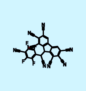 N#Cc1cc2c(c(C#N)c1C#N)C(C(C#N)c1c(F)c(F)c(C#N)c(F)c1F)c1c-2cc(C#N)c(C#N)c1C#N